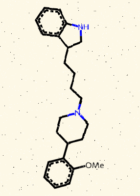 COc1ccccc1C1CCN(CCCCC2CNc3ccccc32)CC1